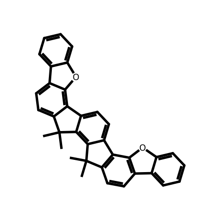 CC1(C)c2ccc3c(oc4ccccc43)c2-c2ccc3c(c21)C(C)(C)c1ccc2c(oc4ccccc42)c1-3